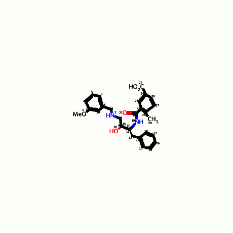 COc1cccc(CNC[C@H](O)[C@H](Cc2ccccc2)NC(=O)c2cc(C(=O)O)ccc2C)c1